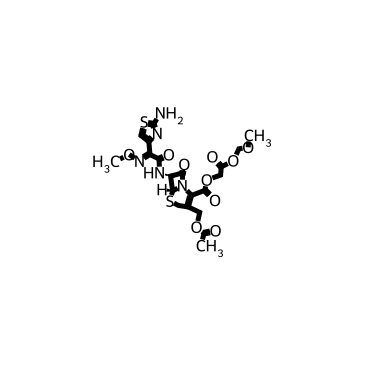 COCOC(=O)COC(=O)C1=C(COC(C)=O)CS[C@@H]2[C@H](NC(=O)C(=NOC)c3csc(N)n3)C(=O)N12